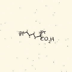 CC(C)CCCCC(C(=O)O)C(C)C